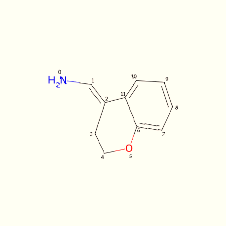 NC=C1CCOc2ccccc21